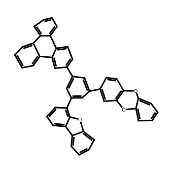 c1ccc2c(c1)Oc1ccc(-c3cc(-c4ccc5c6ccccc6c6ccccc6c5c4)cc(-c4cccc5c4oc4ccccc45)c3)cc1O2